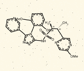 COc1cnc([C@@H](C)[C@H](C)S(=O)(=O)Nc2nnc(-c3cccnc3)n2-c2c(OC)cccc2OC)cn1